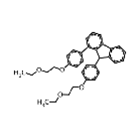 CCOCCOc1ccc(-c2cccc3c2C(c2ccc(OCCOCC)cc2)c2ccccc2-3)cc1